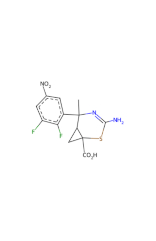 CC1(c2cc([N+](=O)[O-])cc(F)c2F)N=C(N)SC2(C(=O)O)CC21